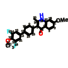 COc1ccc2c(=O)c(-c3ccc(-c4cc(F)c(OC(F)(F)F)c(F)c4)cc3)c(C)[nH]c2c1